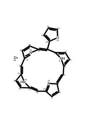 C1=Cc2cc3ccc([nH]3)c(-c3ccco3)c3nc(cc4ccc(cc1n2)[nH]4)C=C3.[Zn]